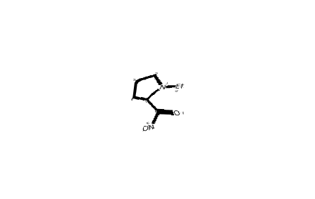 CCN1CCCC1C(=O)N=O